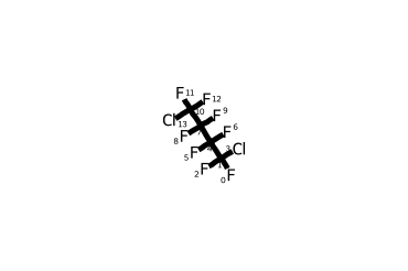 FC(F)(Cl)C(F)(F)C(F)(F)C(F)(F)Cl